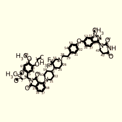 CCOc1cc([C@@H](CS(C)(=O)=O)N2C(=O)c3cccc(N4CCC([C@@H]5CCN(CCc6ccc(Oc7ccc8c(N9CCC(=O)NC9=O)nn(C)c8c7)cc6)CC5(F)F)CC4)c3C2=O)ccc1OC